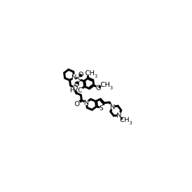 COc1cc(C)c(S(=O)(=O)N2CCCCC2COCCC(=O)N2CCc3sc(CN4CCN(C)CC4)cc3C2)c(C)c1